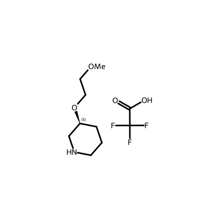 COCCO[C@H]1CCCNC1.O=C(O)C(F)(F)F